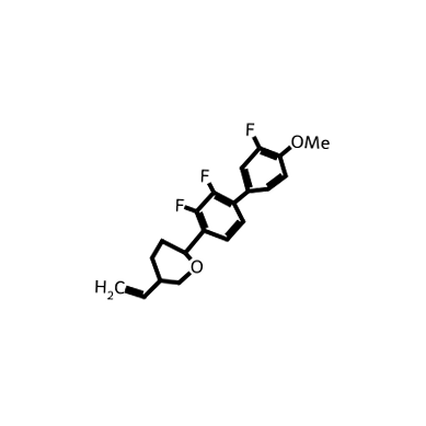 C=CC1CCC(c2ccc(-c3ccc(OC)c(F)c3)c(F)c2F)OC1